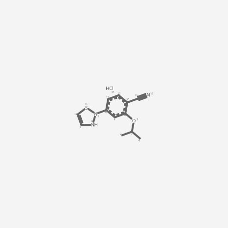 CC(C)Oc1cc(N2NC=CS2)ccc1C#N.Cl